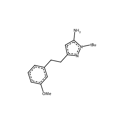 COc1cccc(CCc2cc(N)n(C(C)(C)C)n2)c1